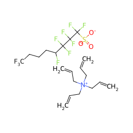 C=CC[N+](CC=C)(CC=C)CC=C.O=S(=O)([O-])C(F)(F)C(F)(F)C(F)(F)C(F)CCCC(F)(F)F